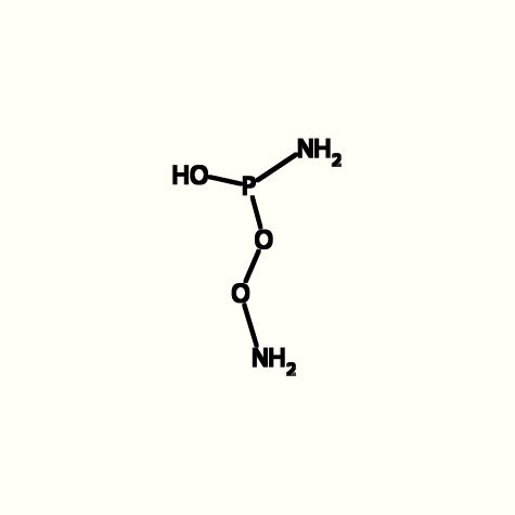 NOOP(N)O